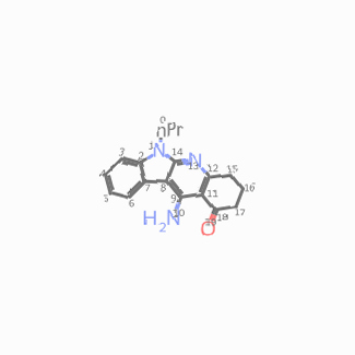 CCCn1c2ccccc2c2c(N)c3c(nc21)CCCC3=O